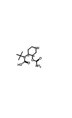 CC(C)(C)N(C(=O)O)[C@H]1CCNC[C@H]1OC(N)=O